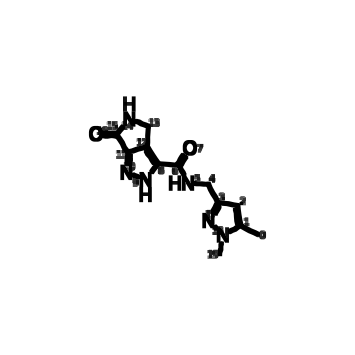 Cc1cc(CNC(=O)c2[nH]nc3c2CNC3=O)nn1C